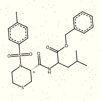 Cc1ccc(S(=O)(=O)N2CCSC[C@H]2C(=O)NC(CC(C)C)C(=O)OCc2ccccc2)cc1